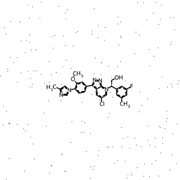 COc1cc(-c2nnc3n([C@@H](CO)c4cc(C)cc(F)c4)cc(Cl)cc2-3)ccc1-n1cnc(C)c1